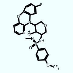 CN=S(=O)(NC1COCC(N2c3cc(F)ccc3Oc3cccnc32)C1O)c1ccc(OC(F)(F)F)cc1